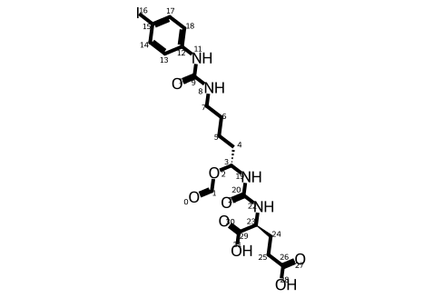 O=CO[C@H](CCCCNC(=O)Nc1ccc(I)cc1)NC(=O)N[C@@H](CCC(=O)O)C(=O)O